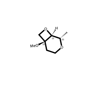 CO[C@]12CCO[C@@H](C)[C@@H]1OC2